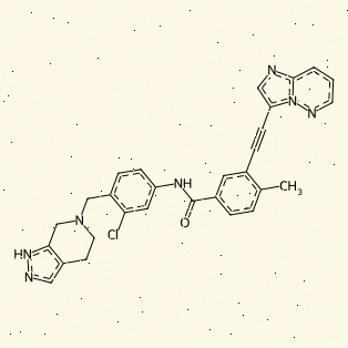 Cc1ccc(C(=O)Nc2ccc(CN3CCc4cn[nH]c4C3)c(Cl)c2)cc1C#Cc1cnc2cccnn12